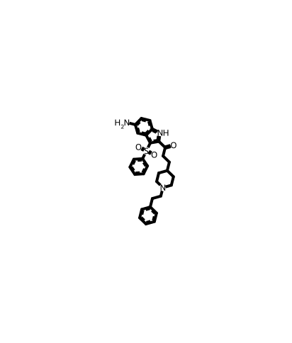 Nc1ccc2[nH]c(C(=O)CCC3CCN(CCc4ccccc4)CC3)c(S(=O)(=O)c3ccccc3)c2c1